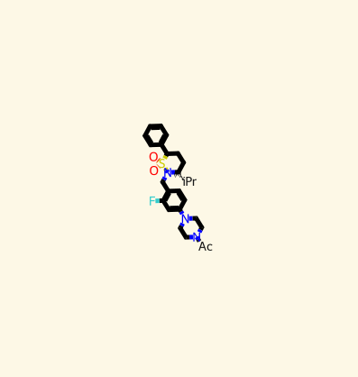 CC(=O)N1CCN(c2ccc(CN3[C@@H](C(C)C)CCC(c4ccccc4)S3(=O)=O)c(F)c2)CC1